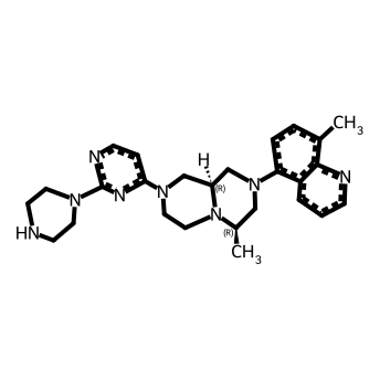 Cc1ccc(N2C[C@@H]3CN(c4ccnc(N5CCNCC5)n4)CCN3[C@H](C)C2)c2cccnc12